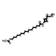 CC(=O)OCCCCCCCCCCCCCCCC(=O)NC12CC(C(=O)NO)(C1)C2